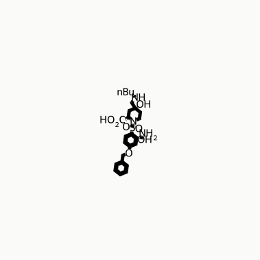 CCCCNC[C@]1(O)CCN(S(=O)(=O)c2ccc(OCc3ccccc3)cc2)[C@@H](C(=O)O)C1.NO